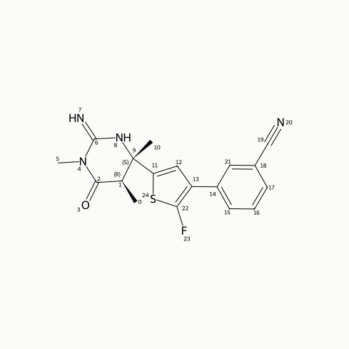 C[C@H]1C(=O)N(C)C(=N)N[C@]1(C)c1cc(-c2cccc(C#N)c2)c(F)s1